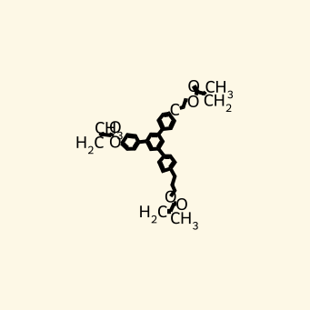 C=C(C)C(=O)OCCCc1ccc(-c2cc(-c3ccc(CCCOC(=O)C(=C)C)cc3)cc(-c3ccc(OC(=O)C(=C)C)cc3)c2)cc1